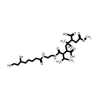 C=NC(=O)CC(C(=O)O)C(C)(C)CC(C(=O)O)C(C(=O)NCCNC(=O)CCCCC(S)CCS)C(C)C